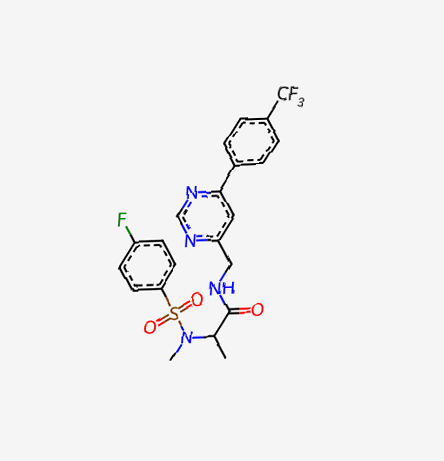 CC(C(=O)NCc1cc(-c2ccc(C(F)(F)F)cc2)ncn1)N(C)S(=O)(=O)c1ccc(F)cc1